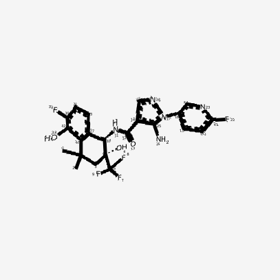 CC1(C)C[C@](O)(C(F)(F)F)[C@H](NC(=O)c2cnn(-c3ccc(F)nc3)c2N)c2ccc(F)c(O)c21